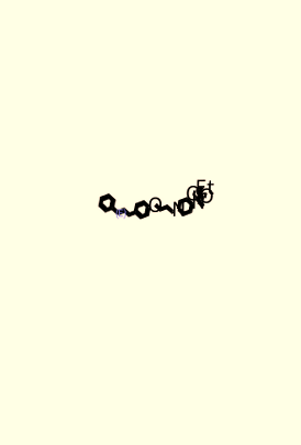 CCS(=O)(=O)N(C)C1CCN(CCCOc2ccc(C/C=C/c3ccccc3)cc2)CC1